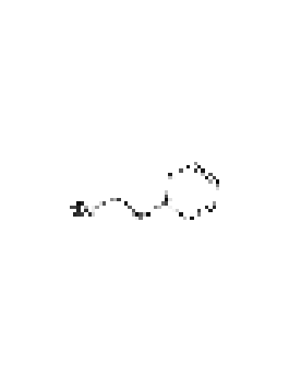 CC(C)(C)C[Se]c1ccccc1